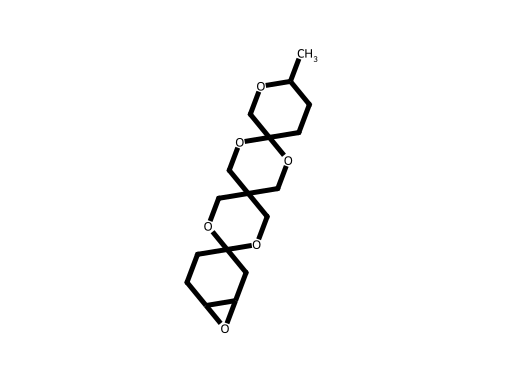 CC1CCC2(CO1)OCC1(CO2)COC2(CCC3OC3C2)OC1